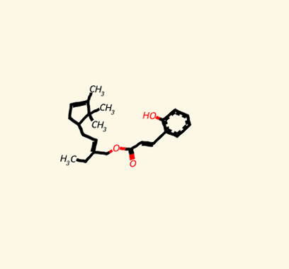 CCC(=CCC1CC=C(C)C1(C)C)COC(=O)/C=C/c1ccccc1O